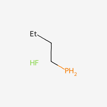 CCCCP.F